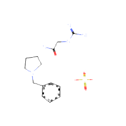 N=C(N)NCC(=O)N[C@H]1CCN(Cc2ccccc2)C1.O=S(=O)(O)O